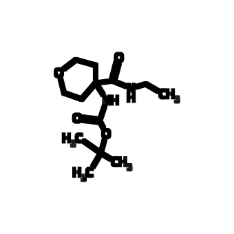 CCNC(=O)C1(NC(=O)OC(C)(C)C)CCOCC1